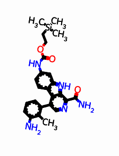 Cc1c(N)cccc1-c1cnc(C(N)=O)c2[nH]c3cc(NC(=O)OCC[Si](C)(C)C)ccc3c12